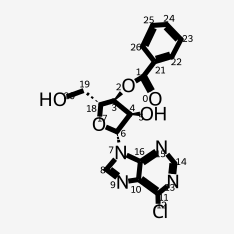 O=C(O[C@H]1[C@@H](O)[C@H](n2cnc3c(Cl)ncnc32)O[C@@H]1CO)c1ccccc1